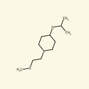 COCCN1CCC(OC(C)C)CC1